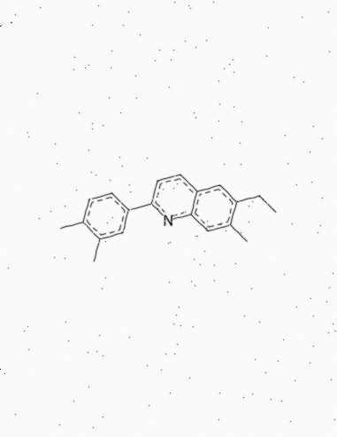 CCc1cc2ccc(-c3ccc(C)c(C)c3)nc2cc1C